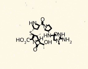 C[C@@H](O)[C@H]1C(=O)N2C(C(=O)O)=C(S[C@@H]3CN[C@H](C(=O)N4CC[C@H](NC(=O)CN(C)C(=N)N)C4)C3)[C@H](C)[C@H]12